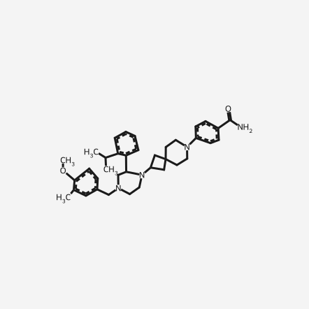 COc1ccc(CN2CCN(C3CC4(CCN(c5ccc(C(N)=O)cc5)CC4)C3)C(c3ccccc3C(C)C)C2)cc1C